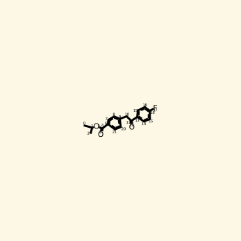 CC(C)OC(=O)c1ccc(CC(=O)c2ccc(F)cc2)cc1